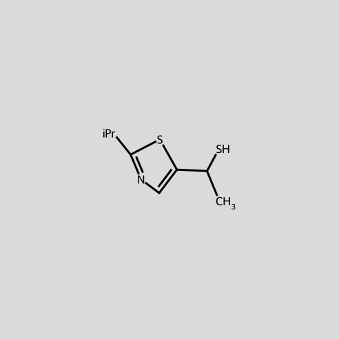 CC(C)c1ncc(C(C)S)s1